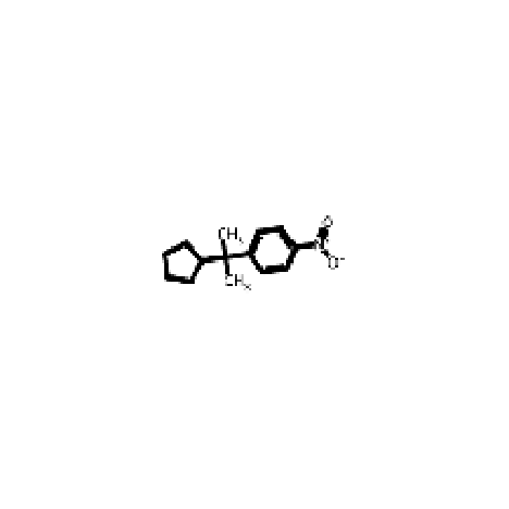 CC(C)(c1ccc([N+](=O)[O-])cc1)C1CCCC1